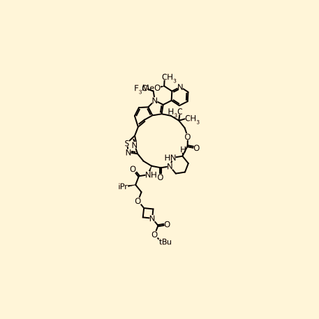 CO[C@@H](C)c1ncccc1-c1c2c3cc(ccc3n1CC(F)(F)F)-c1nc(ns1)C[C@H](NC(=O)[C@@H](COC1CN(C(=O)OC(C)(C)C)C1)C(C)C)C(=O)N1CCC[C@H](N1)C(=O)OCC(C)(C)C2